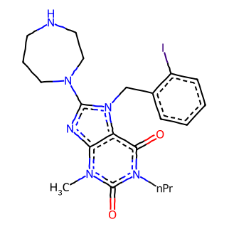 CCCn1c(=O)c2c(nc(N3CCCNCC3)n2Cc2ccccc2I)n(C)c1=O